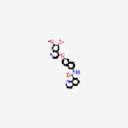 COc1cc2nccc(Oc3ccc4cc(NC(=O)c5cccc6cccnc56)ccc4c3)c2cc1OC